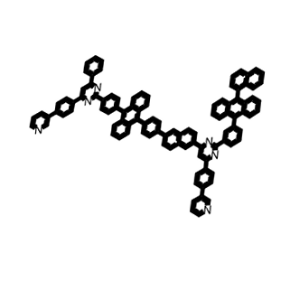 c1ccc(-c2cc(-c3ccc(-c4cccnc4)cc3)nc(-c3ccc(-c4c5ccccc5c(-c5ccc(-c6ccc7cc(-c8cc(-c9ccc(-c%10cccnc%10)cc9)nc(-c9cccc(-c%10c%11ccccc%11c(-c%11cccc%12ccccc%11%12)c%11ccccc%10%11)c9)n8)ccc7c6)cc5)c5ccccc45)cc3)n2)cc1